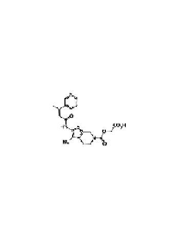 CC(CC(=O)Nc1sc2c(c1C#N)CCN(C(=O)OCC(=O)O)C2)c1cccnc1